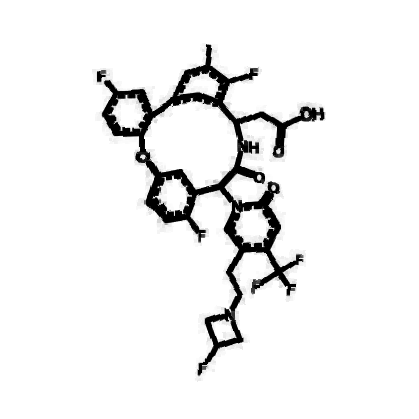 Cc1cc2cc(c1F)C(CC(=O)O)NC(=O)C(n1cc(CCN3CC(F)C3)c(C(F)(F)F)cc1=O)c1cc(ccc1F)Oc1ccc(F)cc1-2